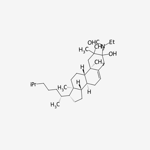 CCN(C=O)C1(O)CC2=CC[C@H]3[C@@H]4CC[C@H]([C@H](C)CCCC(C)C)[C@@]4(C)CC[C@@H]3[C@@]2(C)CC1(C)C